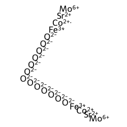 [Co+2].[Co+2].[Fe+3].[Fe+3].[Mo+6].[Mo+6].[O-2].[O-2].[O-2].[O-2].[O-2].[O-2].[O-2].[O-2].[O-2].[O-2].[O-2].[O-2].[O-2].[Sr+2].[Sr+2]